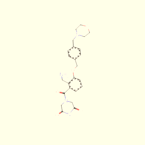 NCc1c(OCc2ccc(CN3CCOCC3)cc2)cccc1C(=O)N1CC(=O)NC(=O)C1